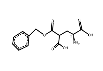 N[C@@H](CC(C(=O)O)C(=O)OCc1ccccc1)C(=O)O